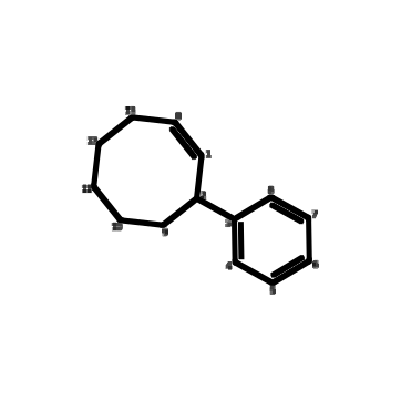 C1=C\C(c2ccccc2)CCCCC/1